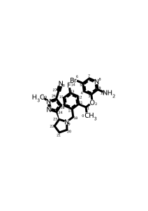 CC(Oc1cc(Br)cnc1N)c1cc(F)ccc1CN1CCC[C@H]1c1cc(C#N)n(C)n1